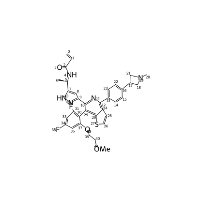 C=CC(=O)N[C@H](C)c1cc(-c2nc(-c3ccc(C4CN(C)C4)cc3)c3ccsc3c2-c2c(F)cc(F)cc2OCCOC)n[nH]1